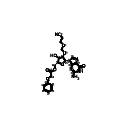 N#CCCOCO[C@@H]1[C@H](O)[C@@H](COC(=O)COc2ccccc2)O[C@H]1n1cnc2c(=O)[nH]c(N)nc21